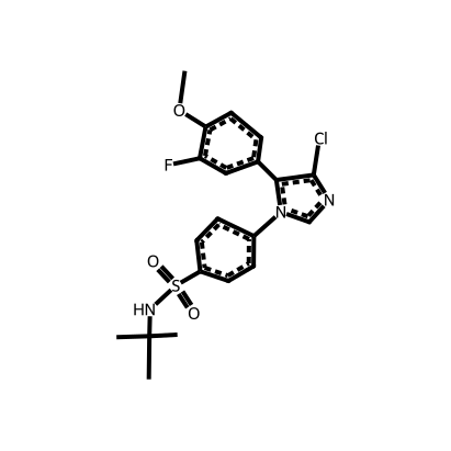 COc1ccc(-c2c(Cl)ncn2-c2ccc(S(=O)(=O)NC(C)(C)C)cc2)cc1F